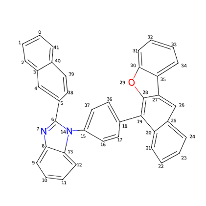 c1ccc2cc(-c3nc4ccccc4n3-c3ccc(-c4c5ccccc5cc5c4oc4ccccc45)cc3)ccc2c1